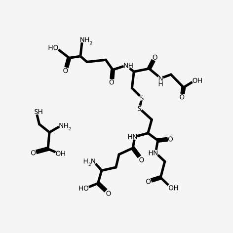 NC(CCC(=O)NC(CSSCC(NC(=O)CCC(N)C(=O)O)C(=O)NCC(=O)O)C(=O)NCC(=O)O)C(=O)O.NC(CS)C(=O)O